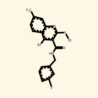 CCSc1nc2cc(C(F)(F)F)ccc2c(CC)c1C(=O)NCc1cccc(F)c1